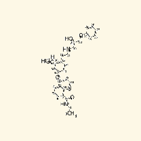 CCNC(=O)c1cccc2c(Oc3ccc(CCNCC(O)COc4ccccc4)cc3)ccnc12.Cl.Cl